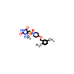 Cc1ccc(C)c(COC2CCN(S(=O)(=O)C[C@@]3(C)NC(=O)NC3=O)CC2)c1